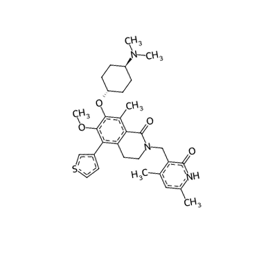 COc1c(O[C@H]2CC[C@H](N(C)C)CC2)c(C)c2c(c1-c1ccsc1)CCN(Cc1c(C)cc(C)[nH]c1=O)C2=O